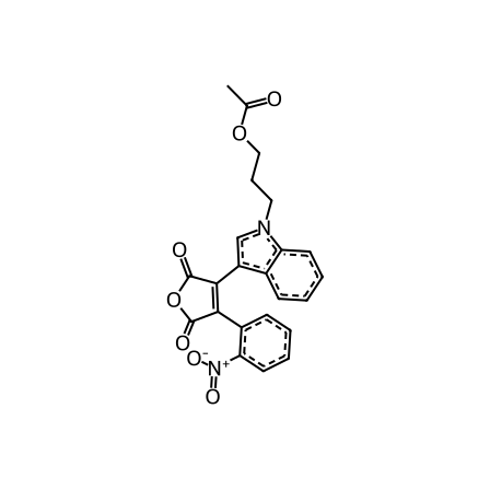 CC(=O)OCCCn1cc(C2=C(c3ccccc3[N+](=O)[O-])C(=O)OC2=O)c2ccccc21